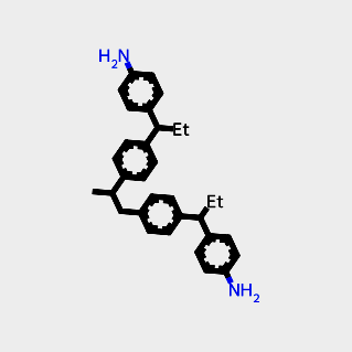 CCC(c1ccc(N)cc1)c1ccc(CC(C)c2ccc(C(CC)c3ccc(N)cc3)cc2)cc1